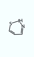 C1=CS[IH]N=C1